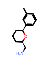 Cc1cccc([C@@H]2CCC[C@H](CN)O2)c1